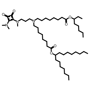 CCCCCCCCC(CCCCCCC)OC(=O)CCCCCCCN(CCCCCCCC(=O)OC(CC)CCCCC)CCCN(C)c1c(N(C)C)c(=O)c1=O